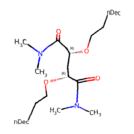 CCCCCCCCCCCCO[C@@H](C(=O)N(C)C)[C@@H](OCCCCCCCCCCCC)C(=O)N(C)C